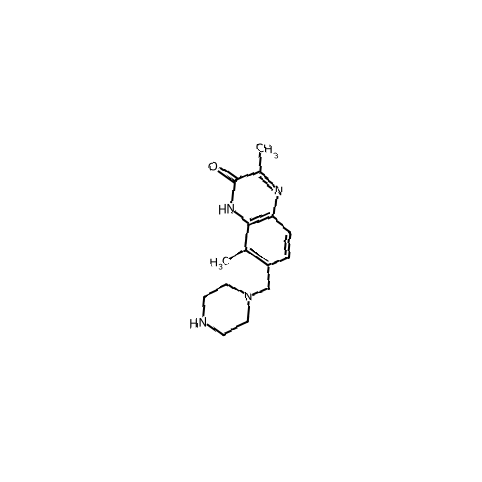 Cc1nc2ccc(CN3CCNCC3)c(C)c2[nH]c1=O